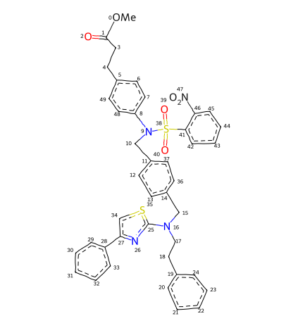 COC(=O)CCc1ccc(N(Cc2ccc(CN(CCc3ccccc3)c3nc(-c4ccccc4)cs3)cc2)S(=O)(=O)c2ccccc2[N+](=O)[O-])cc1